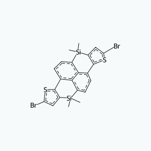 C[Si]1(C)c2cc(Br)sc2-c2ccc3c4c(ccc1c24)-c1sc(Br)cc1[Si]3(C)C